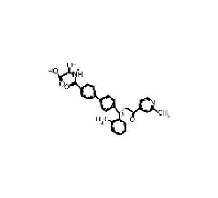 Cc1cc(C(=O)C[C@@H](c2ccc(-c3ccc(C(=O)NC(C)C(=O)O)cc3)cc2)c2ccccc2C)ccn1